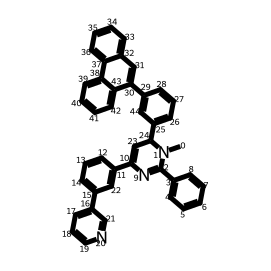 CN1C(c2ccccc2)=NC(c2cccc(-c3cccnc3)c2)=CC1c1cccc(-c2cc3ccccc3c3ccccc23)c1